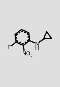 O=[N+]([O-])c1c(F)cccc1NC1CC1